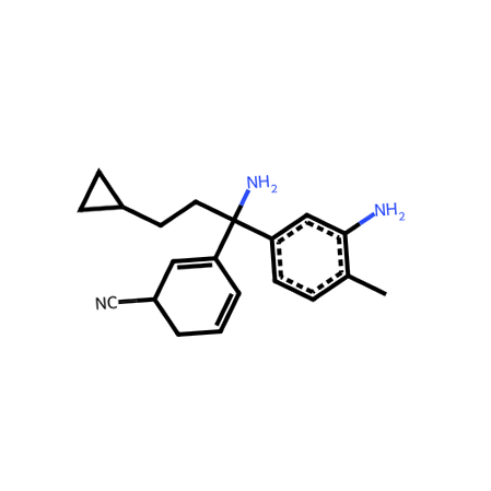 Cc1ccc(C(N)(CCC2CC2)C2=CC(C#N)CC=C2)cc1N